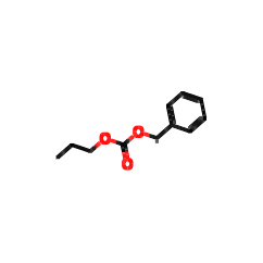 CCCOC(=O)O[CH]c1ccccc1